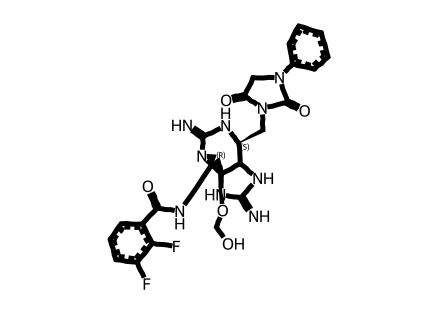 N=C1NC2[C@H](CN3C(=O)CN(c4ccccc4)C3=O)NC(=N)N3CC(NC(=O)c4cccc(F)c4F)[C@@H](OCO)C23N1